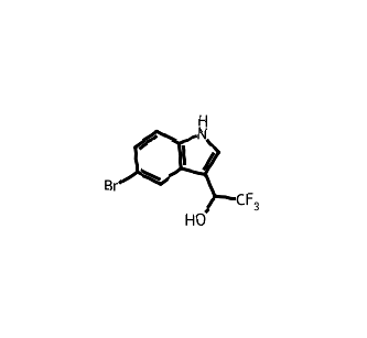 OC(c1c[nH]c2ccc(Br)cc12)C(F)(F)F